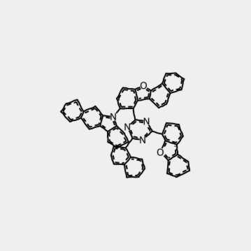 c1ccc2cc3c(cc2c1)c1ccccc1n3-c1ccc2oc3c4ccccc4ccc3c2c1-c1nc(-c2cccc3ccccc23)nc(-c2cccc3c2oc2ccccc23)n1